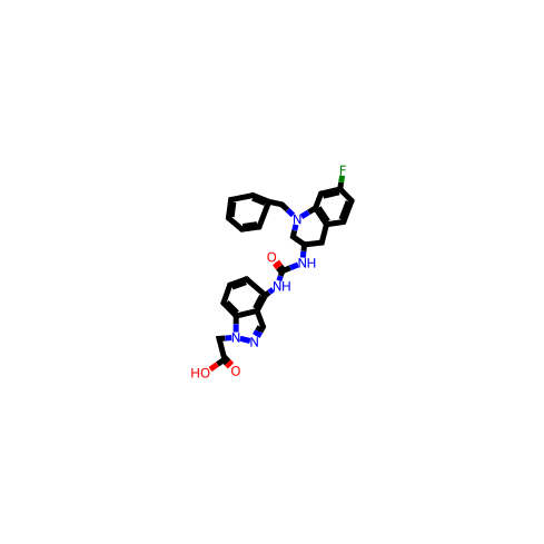 O=C(O)Cn1ncc2c(NC(=O)NC3Cc4ccc(F)cc4N(Cc4ccccc4)C3)cccc21